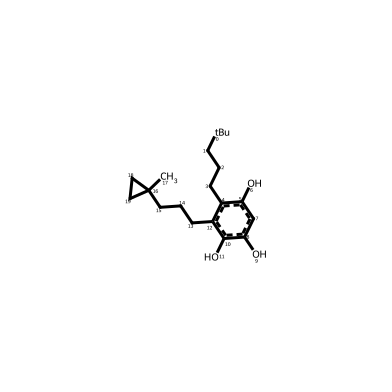 CC(C)(C)CCCc1c(O)cc(O)c(O)c1CCCC1(C)CC1